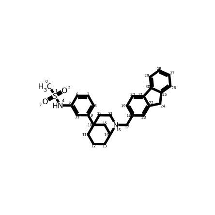 CS(=O)(=O)Nc1cccc(C23CCCC(C2)N(Cc2ccc4c(c2)Cc2ccccc2-4)CC3)c1